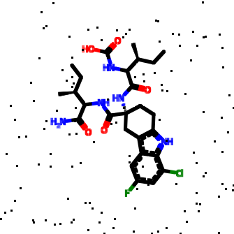 CC[C@H](C)C(NC(=O)[C@@]1(NC(=O)C(NC(=O)O)[C@@H](C)CC)CCc2[nH]c3c(Cl)cc(F)cc3c2C1)C(N)=O